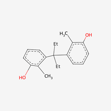 CCC(CC)(c1cccc(O)c1C)c1cccc(O)c1C